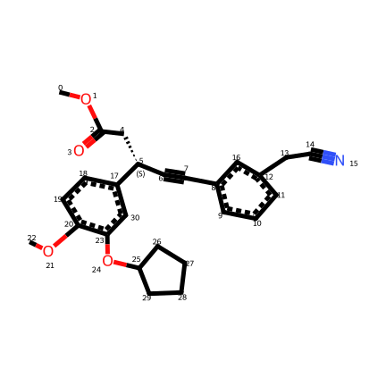 COC(=O)C[C@H](C#Cc1cccc(CC#N)c1)c1ccc(OC)c(OC2CCCC2)c1